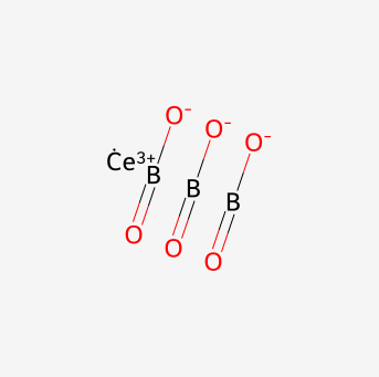 O=B[O-].O=B[O-].O=B[O-].[Ce+3]